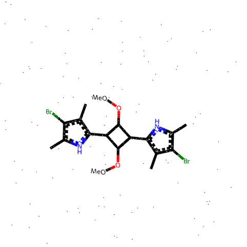 COOC1C(c2[nH]c(C)c(Br)c2C)C(OOC)C1c1[nH]c(C)c(Br)c1C